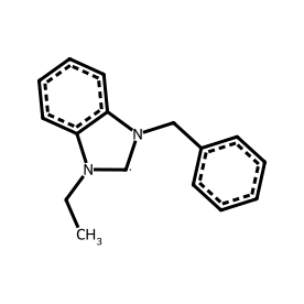 CCN1[CH]N(Cc2ccccc2)c2ccccc21